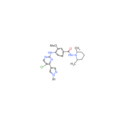 COc1cc(C(=O)NN2C(C)CCCC2C)ccc1Nc1ncc(Cl)c(-c2cnn(C(C)C)c2)n1